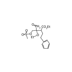 CCOC(=O)C(CCc1ccccc1)C(COS(C)(=O)=O)(OCC)[PH2]=O